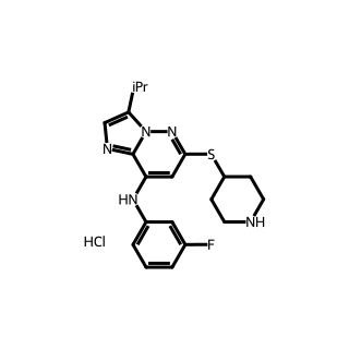 CC(C)c1cnc2c(Nc3cccc(F)c3)cc(SC3CCNCC3)nn12.Cl